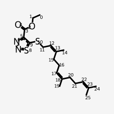 CCOC(=O)c1nnsc1SCC=C(C)CCC=C(C)CCC=C(C)C